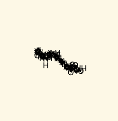 O=C1CCC(N2C(=O)c3ccc(N4CC5(CC(N6C[C@@H]7C(CN8CCN9c%10cc(-c%11ccccc%11O)nnc%10NC[C@H]9C8)[C@@H]7C6)C5)C4)cc3C2=O)C(=O)N1